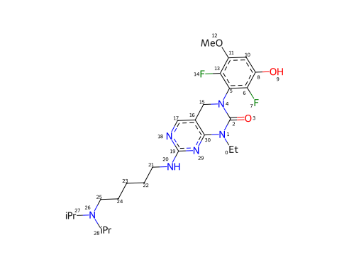 CCN1C(=O)N(c2c(F)c(O)cc(OC)c2F)Cc2cnc(NCCCCCN(C(C)C)C(C)C)nc21